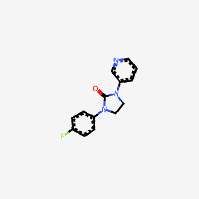 O=C1N(c2ccc(F)cc2)CCN1c1cccnc1